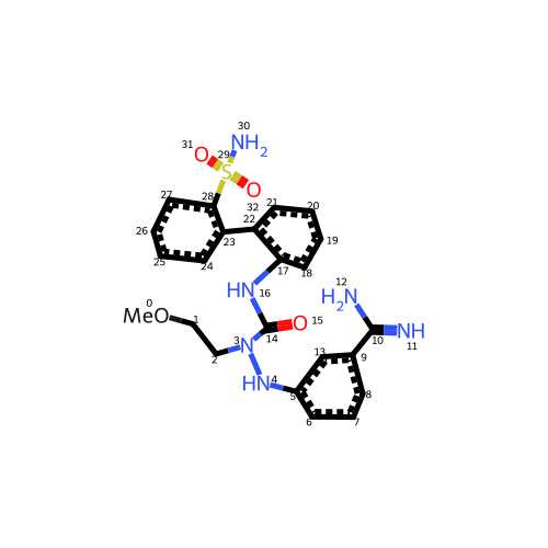 COCCN(Nc1cccc(C(=N)N)c1)C(=O)Nc1ccccc1-c1ccccc1S(N)(=O)=O